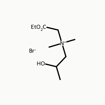 CCOC(=O)C[N+](C)(C)CC(C)O.[Br-]